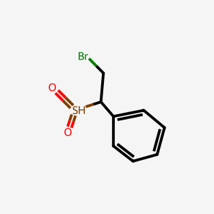 O=[SH](=O)C(CBr)c1ccccc1